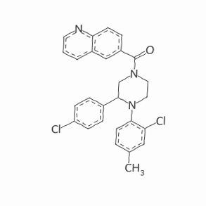 Cc1ccc(N2CCN(C(=O)c3ccc4ncccc4c3)CC2c2ccc(Cl)cc2)c(Cl)c1